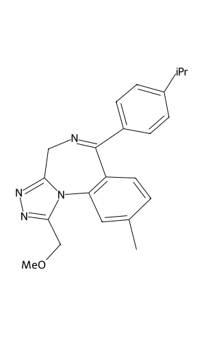 COCc1nnc2n1-c1cc(C)ccc1C(c1ccc(C(C)C)cc1)=NC2